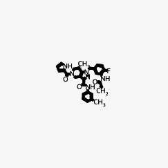 C=CC(=O)Nc1cc(Cn2nc(C(=O)Nc3cccc(C)c3)c3c2[C@H](C)CN(C(=O)c2ccc[nH]2)C3)ccc1F